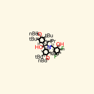 CCCCOc1c(C(C)(C)C)cc(C(O)(c2cc(C(C)(C)C)c(OCCCC)c(C(C)(C)C)c2)C(CC(C)C)N=Cc2cc(F)cc(F)c2O)cc1C(C)(C)C